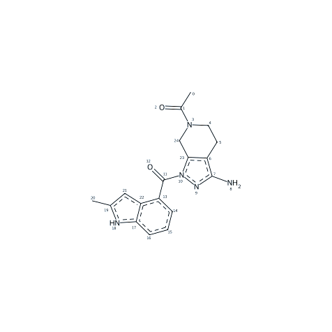 CC(=O)N1CCc2c(N)nn(C(=O)c3cccc4[nH]c(C)cc34)c2C1